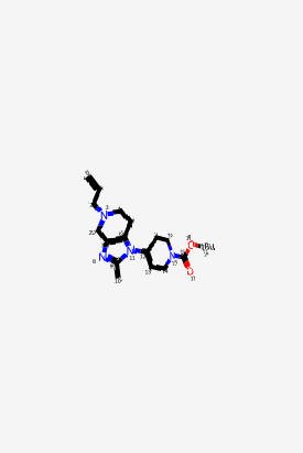 C=CCN1CCc2c(nc(C)n2C2CCN(C(=O)OC(C)(C)C)CC2)C1